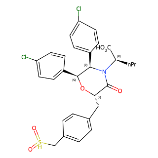 CCC[C@H](C(=O)O)N1C(=O)[C@H](Cc2ccc(C[SH](=O)=O)cc2)O[C@@H](c2ccc(Cl)cc2)[C@H]1c1ccc(Cl)cc1